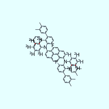 [2H]c1c([2H])c([2H])c(N(c2c(F)ccc(-c3ccc(C)c(C)c3)c2-c2ccc(C)c(C)c2)c2ccc3ccc4c(N(c5c([2H])c([2H])c([2H])c([2H])c5[2H])c5c(F)ccc(-c6ccc(C)c(C)c6)c5-c5ccc(C)c(C)c5)ccc5ccc2c3c54)c([2H])c1[2H]